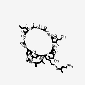 C=C1CC(C)OC2(CCCSSC(C)CCN)C(=O)[C@H](CC(N)=O)NC(=O)C(CSC(=C)N1)NC(=O)CNC(=O)[C@H]([C@@H](C)CC)NC(=O)CNC(=O)CNC(=O)[C@H]([C@@H](C)[C@@H](O)CO)NC(=O)[C@@H]1C[C@@H](O)CN12